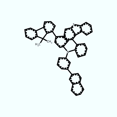 CC1(C)c2ccccc2-c2cccc(-c3ccc(N(c4cccc(-c5ccc6ccccc6c5)c4)c4ccccc4-c4cccc5sc6ccccc6c45)cc3)c21